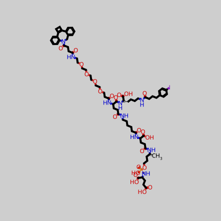 C[C@H](CCCOP(=O)(O)NC(CCC(=O)O)C(=O)O)NC(=O)CCC(NC(=O)CCCCCNC(=O)CCC(NC(=O)CCOCCOCCOCCOCCNC(=O)CCC(=O)N1Cc2ccccc2C2=C(CC2)c2ccccc21)C(=O)N[C@@H](CCCCNC(=O)CCCc1ccc(I)cc1)C(=O)O)C(=O)O